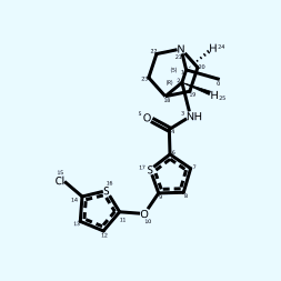 C[C@H]1[C@H](NC(=O)c2ccc(Oc3ccc(Cl)s3)s2)C2CCN1CC2